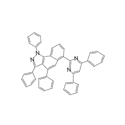 c1ccc(-c2cc(-c3ccccc3)nc(-c3cccc4c3cc(-c3ccccc3)c3c(-c5ccccc5)nn(-c5ccccc5)c34)n2)cc1